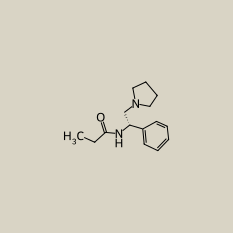 CCC(=O)N[C@H](CN1CCCC1)c1ccccc1